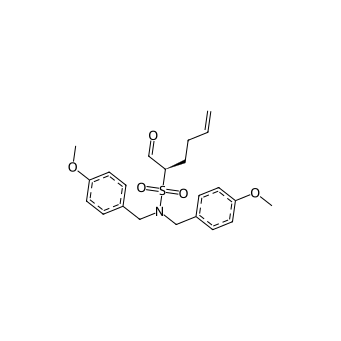 C=CCC[C@H](C=O)S(=O)(=O)N(Cc1ccc(OC)cc1)Cc1ccc(OC)cc1